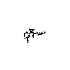 C#CCNC(=O)C1(N2CCOC(Cl)C2)CC1